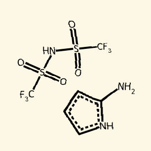 Nc1ccc[nH]1.O=S(=O)(NS(=O)(=O)C(F)(F)F)C(F)(F)F